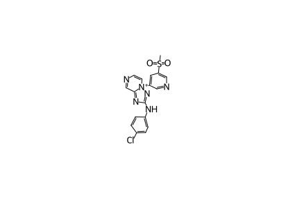 CS(=O)(=O)c1cncc([N+]23C=CN=CC2=NC(Nc2ccc(Cl)cc2)=N3)c1